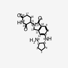 N[C@H]1CCC[C@H]1Nc1ccc2c(c1)CN(C1CCC(=O)NC1=O)C2=O